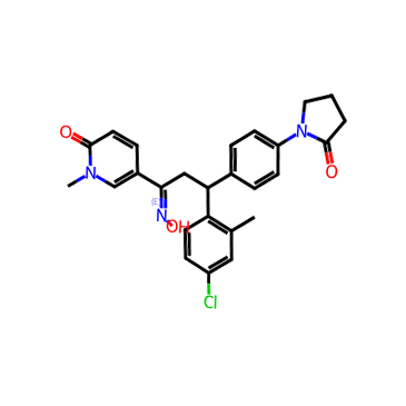 Cc1cc(Cl)ccc1C(C/C(=N\O)c1ccc(=O)n(C)c1)c1ccc(N2CCCC2=O)cc1